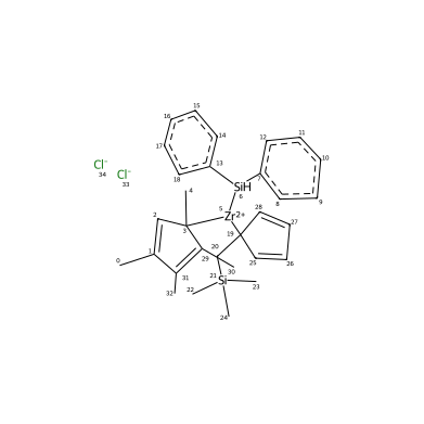 CC1=C[C](C)([Zr+2]([SiH](c2ccccc2)c2ccccc2)[C]2(C[Si](C)(C)C)C=CC=C2)C(C)=C1C.[Cl-].[Cl-]